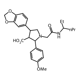 CCCC(CC)NC(=O)CN1CC(c2ccc3c(c2)OCO3)C(C(=O)O)C1c1ccc(OC)cc1